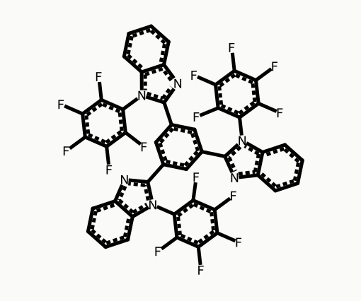 Fc1c(F)c(F)c(-n2c(-c3cc(-c4nc5ccccc5n4-c4c(F)c(F)c(F)c(F)c4F)cc(-c4nc5ccccc5n4-c4c(F)c(F)c(F)c(F)c4F)c3)nc3ccccc32)c(F)c1F